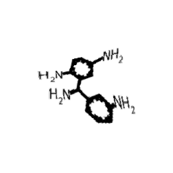 Nc1cccc(C(N)c2cc(N)ccc2N)c1